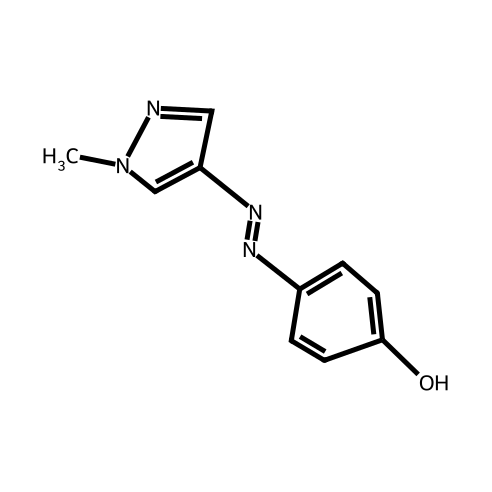 Cn1cc(N=Nc2ccc(O)cc2)cn1